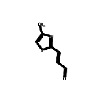 Cc1csc(/C=C/C=O)n1